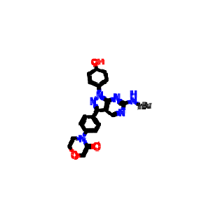 CCCCNc1ncc2c(-c3ccc(N4CCOCC4=O)cc3)nn(C3CCC(O)CC3)c2n1